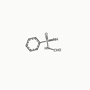 N=S(=O)(NC=O)c1ccccc1